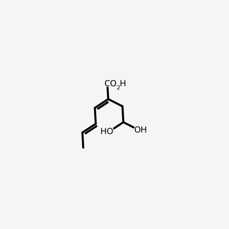 CC=CC=C(CC(O)O)C(=O)O